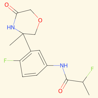 CC(F)C(=O)Nc1ccc(F)c(C2(C)COCC(=O)N2)c1